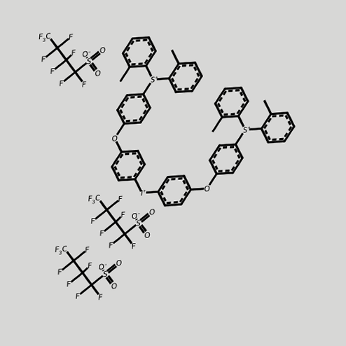 Cc1ccccc1[S+](c1ccc(Oc2ccc([I+]c3ccc(Oc4ccc([S+](c5ccccc5C)c5ccccc5C)cc4)cc3)cc2)cc1)c1ccccc1C.O=S(=O)([O-])C(F)(F)C(F)(F)C(F)(F)C(F)(F)F.O=S(=O)([O-])C(F)(F)C(F)(F)C(F)(F)C(F)(F)F.O=S(=O)([O-])C(F)(F)C(F)(F)C(F)(F)C(F)(F)F